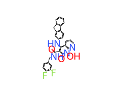 O=C(NCc1ccc(F)c(F)c1)c1c(Nc2ccc3c(c2)Cc2ccccc2-3)c2cccnc2n(O)c1=O